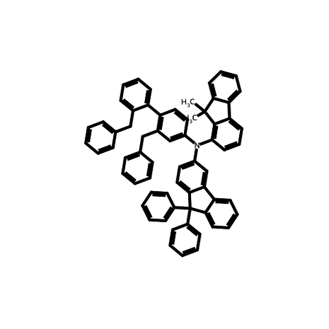 CC1(C)c2ccccc2-c2cccc(N(c3ccc(-c4ccccc4Cc4ccccc4)c(Cc4ccccc4)c3)c3ccc4c(c3)-c3ccccc3C4(c3ccccc3)c3ccccc3)c21